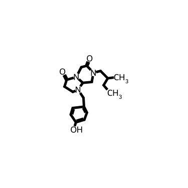 CCC(C)CN1CC2N(Cc3ccc(O)cc3)CCC(=O)N2CC1=O